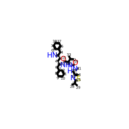 CN[C@H](CC[C@H](Cc1ccccc1)NC(=O)[C@@H](NC(=O)N(C)Cc1csc(C(C)C)n1)C(C)C)Cc1ccccc1